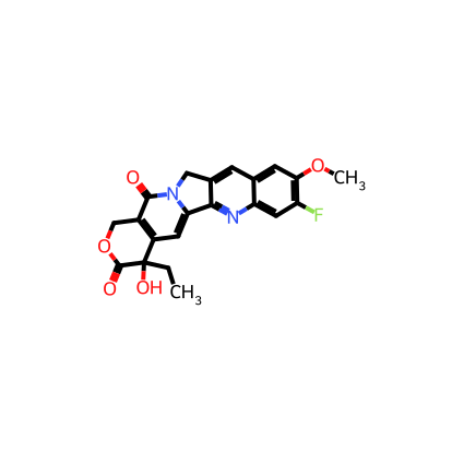 CCC1(O)C(=O)OCc2c1cc1n(c2=O)Cc2cc3cc(OC)c(F)cc3nc2-1